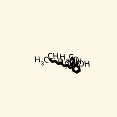 CCC(C)C1(C(=O)O)CC=CCC1(CCCCCCCC(C)C)C(=O)O